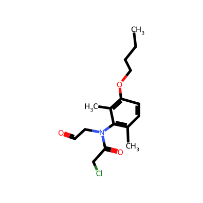 CCCCOc1ccc(C)c(N(CC=O)C(=O)CCl)c1C